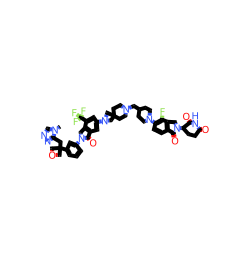 Cn1cnnc1CC1(c2cccc(N3Cc4c(cc(N5CC6(CCN(CC7CCN(c8ccc9c(c8F)CN(C8CCC(=O)NC8=O)C9=O)CC7)CC6)C5)cc4C(F)(F)F)C3=O)c2)COC1